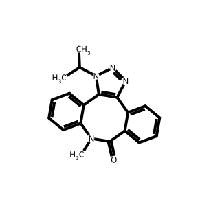 CC(C)n1nnc2c1-c1ccccc1N(C)C(=O)c1ccccc1-2